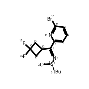 CC(C)(C)[S@@+]([O-])N=C(c1cccc(Br)n1)C1CC(F)(F)C1